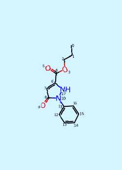 CCCOC(=O)c1cc(=O)n(-c2ccccc2)[nH]1